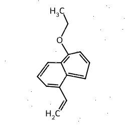 C=Cc1cccc2c(OCC)cccc12